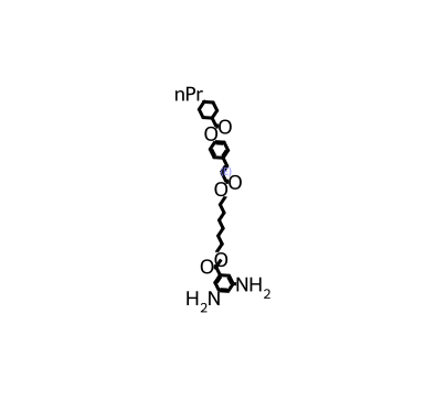 CCCC1CCC(C(=O)Oc2ccc(/C=C/C(=O)OCCCCCCCCOC(=O)c3cc(N)cc(N)c3)cc2)CC1